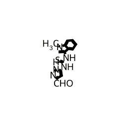 Cn1cc(NC(=S)Nc2cc(C=O)n[nH]2)c2ccccc21